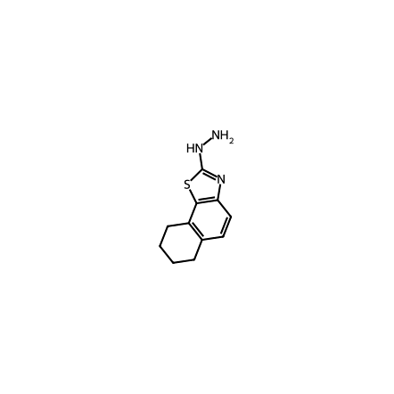 NNc1nc2ccc3c(c2s1)CCCC3